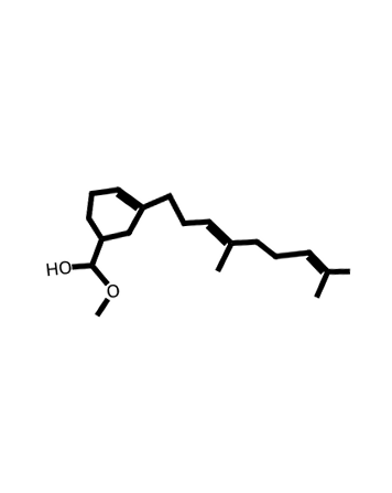 COC(O)C1CCC=C(CC/C=C(\C)CCC=C(C)C)C1